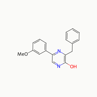 COc1cccc(-c2cnc(O)c(Cc3ccccc3)n2)c1